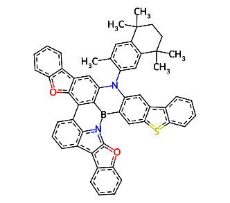 Cc1cc2c(cc1N1c3cc4c(cc3B3c5c1cc1c(oc6ccccc61)c5-c1cccc5c6c7ccccc7oc6n3c15)sc1ccccc14)C(C)(C)CCC2(C)C